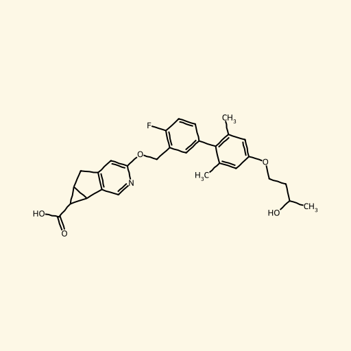 Cc1cc(OCCC(C)O)cc(C)c1-c1ccc(F)c(COc2cc3c(cn2)C2C(C3)C2C(=O)O)c1